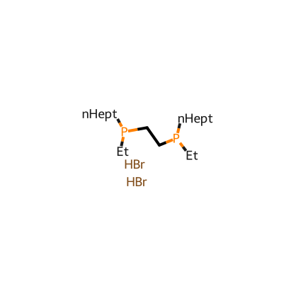 Br.Br.CCCCCCCP(CC)CCP(CC)CCCCCCC